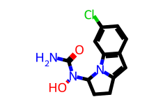 NC(=O)N(O)C1CCc2cc3ccc(Cl)cc3n21